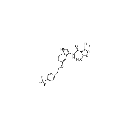 Cc1noc(C)c1C(=O)Nc1c[nH]c2ccc(OCCc3ccc(C(F)(F)F)cc3)cc12